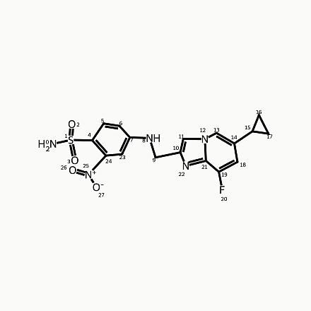 NS(=O)(=O)c1ccc(NCc2cn3cc(C4CC4)cc(F)c3n2)cc1[N+](=O)[O-]